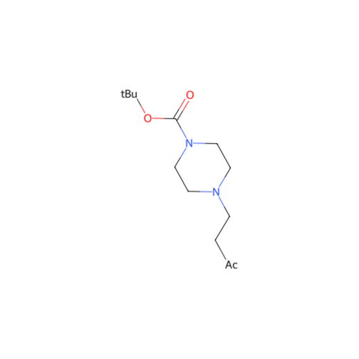 CC(=O)CCN1CCN(C(=O)OC(C)(C)C)CC1